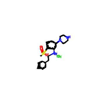 CS(=O)(=O)c1ccc(N2CCNCC2)cc1NCCc1ccccc1.Cl